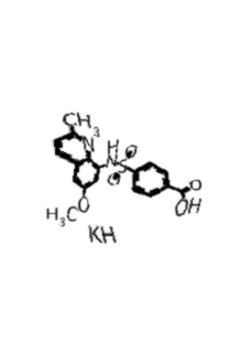 COc1cc(NS(=O)(=O)c2ccc(C(=O)O)cc2)c2nc(C)ccc2c1.[KH]